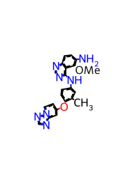 COc1c(N)ccc2ncnc(Nc3ccc(Oc4ccn5ncnc5c4)c(C)c3)c12